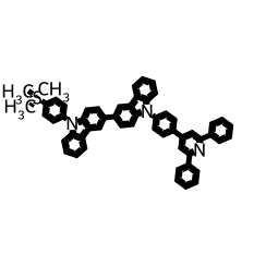 CS(C)(C)c1ccc(-n2c3ccccc3c3cc(-c4ccc5c(c4)c4ccccc4n5-c4ccc(-c5cc(-c6ccccc6)nc(-c6ccccc6)c5)cc4)ccc32)cc1